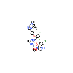 CC(NCc1c(F)cc(Cl)cc1Oc1ccc(-c2cnc(CN(C)C)n2C)cc1)C(=O)NC(CO)C(=O)N(C)[C@@]1(Cc2ccc(Cl)cc2)CCCNC1